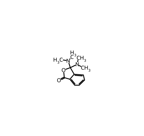 CN(C)C1(N(C)C)OC(=O)c2ccccc21